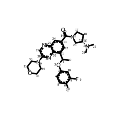 CC(Oc1ccc(F)c(F)c1)c1cc(C(=O)N2CC[C@H](N(C)C)C2)cc2ncc(N3CCOCC3)nc12